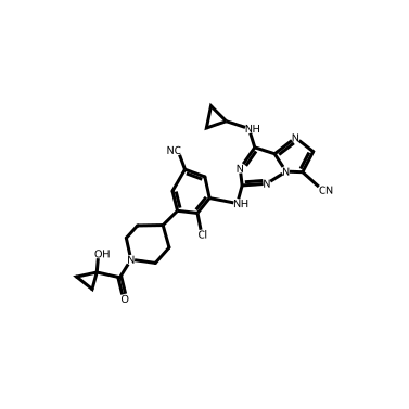 N#Cc1cc(Nc2nc(NC3CC3)c3ncc(C#N)n3n2)c(Cl)c(C2CCN(C(=O)C3(O)CC3)CC2)c1